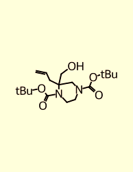 C=CCC1(CO)CN(C(=O)OC(C)(C)C)CCN1C(=O)OC(C)(C)C